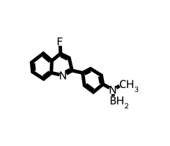 BN(C)c1ccc(-c2cc(F)c3ccccc3n2)cc1